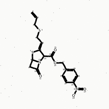 C=CCSC/C=C1\SC2CC(=O)N2C1C(=O)OCc1ccc([N+](=O)[O-])cc1